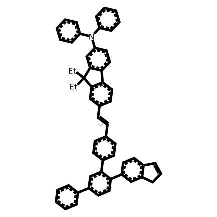 CCC1(CC)c2cc(/C=C/c3ccc(-c4cc(-c5ccccc5)ccc4-c4ccc5c(c4)CC=C5)cc3)ccc2-c2ccc(N(c3ccccc3)c3ccccc3)cc21